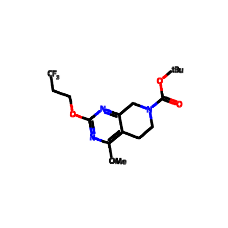 COc1nc(OCCC(F)(F)F)nc2c1CCN(C(=O)OC(C)(C)C)C2